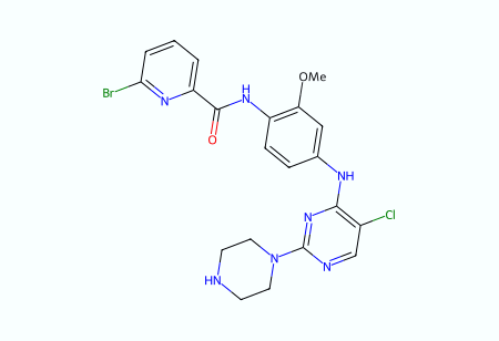 COc1cc(Nc2nc(N3CCNCC3)ncc2Cl)ccc1NC(=O)c1cccc(Br)n1